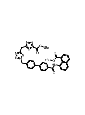 CC(C)(C)OC(=O)c1cccc2cccc(NC(=O)c3ccc(-c4ccc(Cn5nnc(Cc6nnn(C(=O)OC(C)(C)C)n6)n5)cc4)cc3)c12